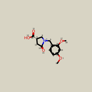 COc1ccc(CN2C[C@@H](C(=O)O)CC2=O)c(OC)c1